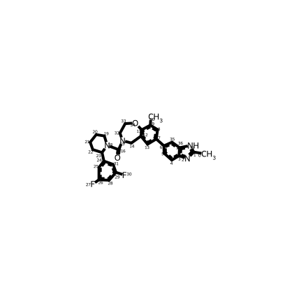 Cc1nc2ccc(-c3cc(C)c4c(c3)CN(C(=O)N3CCCCC3c3cc(F)cc(F)c3)CCO4)cc2[nH]1